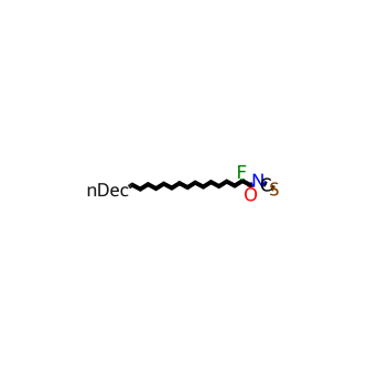 CCCCCCCCCCCCCCCCCCCCCCCCC(F)C(=O)N=C=S